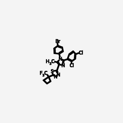 Cc1c(-c2nnc(C3(C(F)(F)F)CCC3)s2)nc(-c2ccc(Cl)cc2Cl)n1-c1ccc(Br)cc1